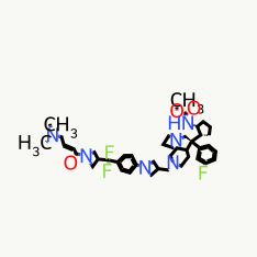 COC(=O)N[C@H]1CCC[C@@H]1[C@](CN1CCC1)(c1cccc(F)c1)C1CCN(CC2CN(c3ccc(C(F)(F)C4CN(C(=O)/C=C/CN(C)C)C4)cc3)C2)CC1